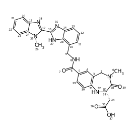 CN1Cc2cc(C(=O)NCc3cccc4nc(-c5nc6ccccc6n5C)[nH]c34)ccc2N[C@@H](CC(=O)O)C1=O